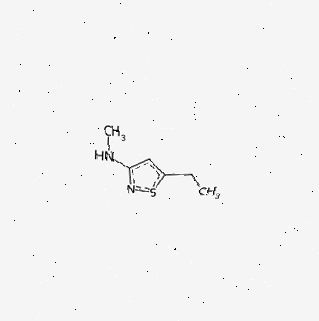 CCc1cc(NC)ns1